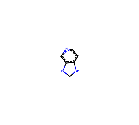 [CH]1Nc2ccncc2N1